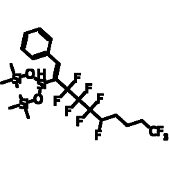 C[Si](C)(C)O[SiH](O[Si](C)(C)C)C(=Cc1ccccc1)C(F)(F)C(F)(F)C(F)(F)C(F)CCCC(F)(F)F